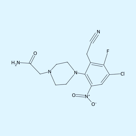 N#CCc1c(F)c(Cl)cc([N+](=O)[O-])c1N1CCN(CC(N)=O)CC1